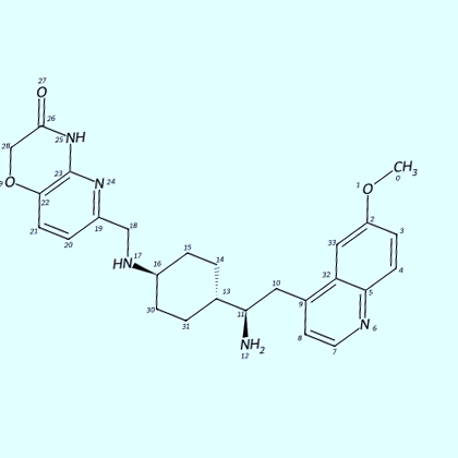 COc1ccc2nccc(C[C@@H](N)[C@H]3CC[C@H](NCc4ccc5c(n4)NC(=O)CO5)CC3)c2c1